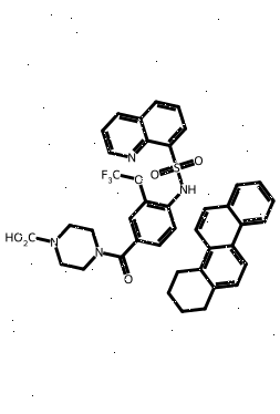 O=C(O)N1CCN(C(=O)c2ccc(NS(=O)(=O)c3cccc4cccnc34)c(OC(F)(F)F)c2)CC1.c1ccc2c(c1)ccc1c3c(ccc12)CCCC3